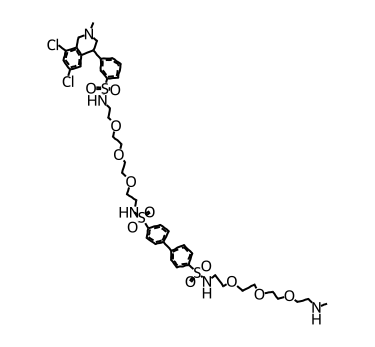 CNCCOCCOCCOCCNS(=O)(=O)c1ccc(-c2ccc(S(=O)(=O)NCCOCCOCCOCCNS(=O)(=O)c3cccc(C4CN(C)Cc5c(Cl)cc(Cl)cc54)c3)cc2)cc1